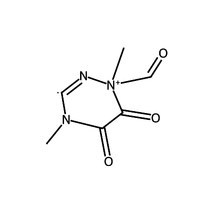 CN1[C]=N[N+](C)(C=O)C(=O)C1=O